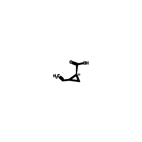 C=CC1C[C@@H]1C(=O)O